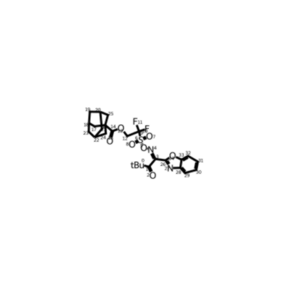 CC(C)(C)C(=O)/C(=N\OS(=O)(=O)C(F)(F)COC(=O)C12CC3CC(CC(C3)C1)C2)c1nc2ccccc2o1